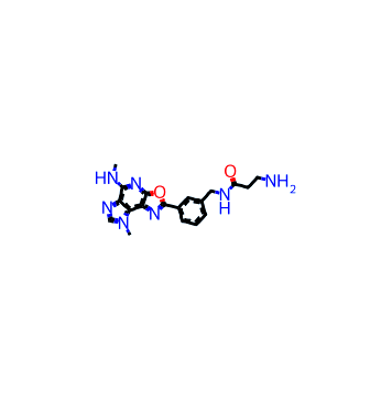 CNc1nc2oc(-c3cccc(CNC(=O)CCN)c3)nc2c2c1ncn2C